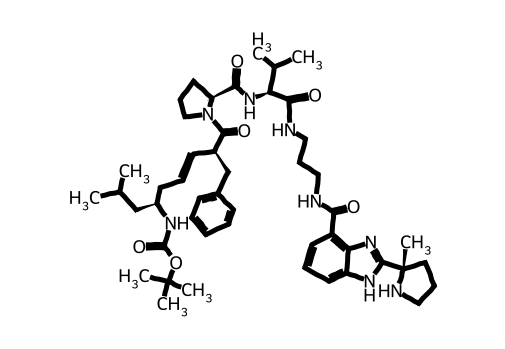 CC(C)C[C@@H](C/C=C/[C@H](Cc1ccccc1)C(=O)N1CCC[C@H]1C(=O)N[C@H](C(=O)NCCCNC(=O)c1cccc2[nH]c([C@]3(C)CCCN3)nc12)C(C)C)NC(=O)OC(C)(C)C